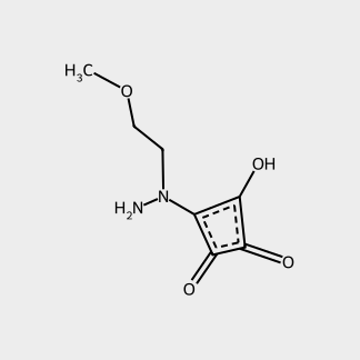 COCCN(N)c1c(O)c(=O)c1=O